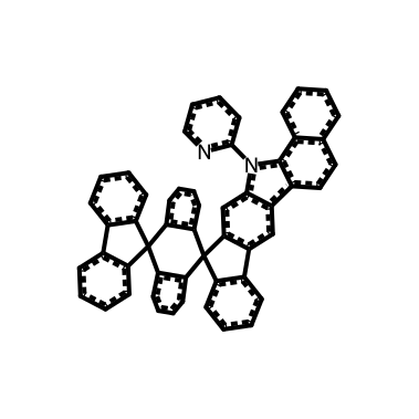 c1ccc(-n2c3cc4c(cc3c3ccc5ccccc5c32)-c2ccccc2C42c3ccccc3C3(c4ccccc4-c4ccccc43)c3ccccc32)nc1